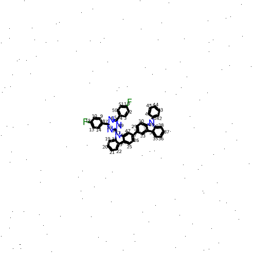 Fc1ccc(-c2nc(-c3ccc(F)cc3)nc(-n3c4ccccc4c4ccc(-c5ccc6c(c5)c5ccccc5n6-c5ccccc5)cc43)n2)cc1